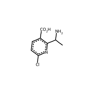 CC(N)c1nc(Cl)ccc1C(=O)O